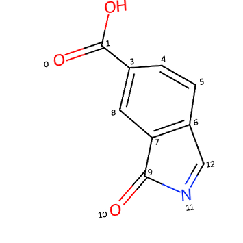 O=C(O)c1ccc2c(c1)C(=O)N=C2